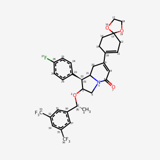 C[C@@H](OC1CN2C(=O)C=C(C3=CCC4(CC3)OCCO4)CC2[C@@H]1c1ccc(F)cc1)c1cc(C(F)(F)F)cc(C(F)(F)F)c1